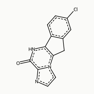 O=c1[nH]c2c(n3ccnc13)Cc1cc(Cl)ccc1-2